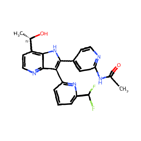 CC(=O)Nc1cc(-c2[nH]c3c([C@H](C)O)ccnc3c2-c2cccc(C(F)F)n2)ccn1